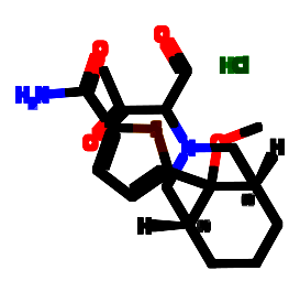 COC1(c2ccc(C(N)=O)s2)[C@@H]2CCC[C@H]1CN(C(C=O)C(C)=O)C2.Cl